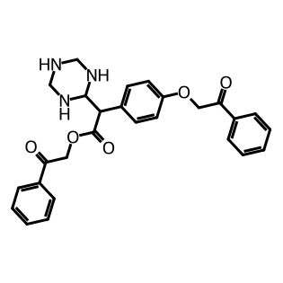 O=C(COC(=O)C(c1ccc(OCC(=O)c2ccccc2)cc1)C1NCNCN1)c1ccccc1